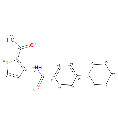 O=C(Nc1ccsc1C(=O)O)c1ccc(C2CCCCC2)cc1